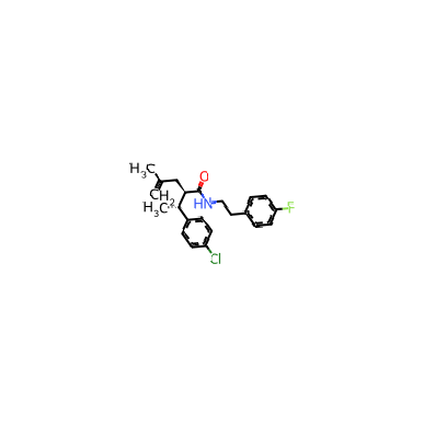 C=C(C)C[C@@H](C(=O)NCCc1ccc(F)cc1)[C@@H](C)c1ccc(Cl)cc1